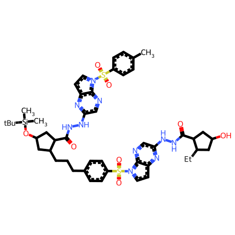 CCC1CC(O)CC1C(=O)NNc1cnc2c(ccn2S(=O)(=O)c2ccc(CCCC3CC(O[Si](C)(C)C(C)(C)C)CC3C(=O)NNc3cnc4c(ccn4S(=O)(=O)c4ccc(C)cc4)n3)cc2)n1